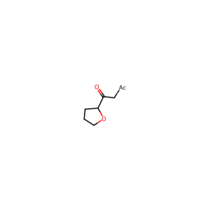 CC(=O)CC(=O)C1CCCO1